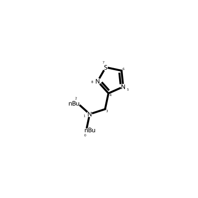 CCCCN(CCCC)Cc1ncsn1